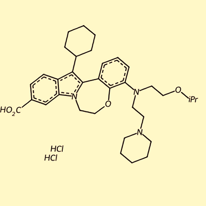 CC(C)OCCN(CCN1CCCCC1)c1cccc2c1OCCn1c-2c(C2CCCCC2)c2ccc(C(=O)O)cc21.Cl.Cl